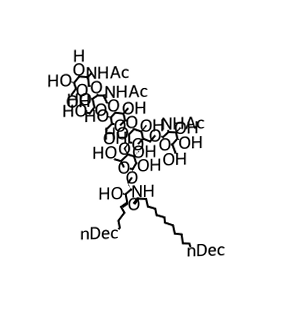 CCCCCCCCCCCCC/C=C/[C@@H](O)[C@H](CO[C@@H]1OC(CO)[C@@H](O[C@@H]2OC(CO[C@@H]3OC(CO)[C@@H](O)[C@H](O)C3NC(C)=O)[C@H](O)[C@H](O[C@H]3OC(CO)[C@H](O)[C@H](O[C@@H]4OC(CO)[C@H](O)[C@H](O[C@H]5OC(CO)[C@H](O)[C@H](O)C5NC(C)=O)C4NC(C)=O)C3O)C2O)[C@H](O)C1O)NC(=O)CCCCCCCCCCCCCCCCCCCCC